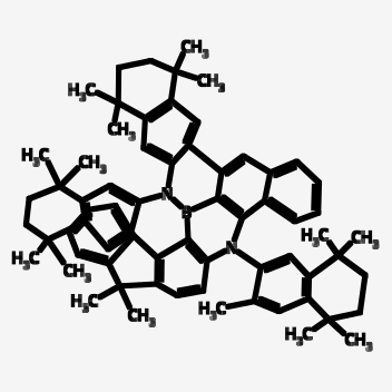 Cc1cc2c(cc1N1c3ccc4c(c3B3c5c(cc6ccccc6c51)-c1cc5c(cc1N3c1ccc3c(c1)C(C)(C)CCC3(C)C)C(C)(C)CCC5(C)C)-c1ccccc1C4(C)C)C(C)(C)CCC2(C)C